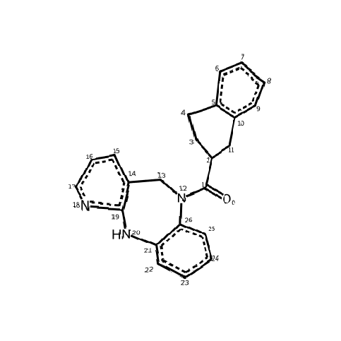 O=C(C1CCc2ccccc2C1)N1Cc2cccnc2Nc2ccccc21